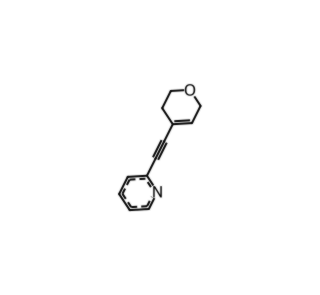 C(#Cc1ccccn1)C1=CCOCC1